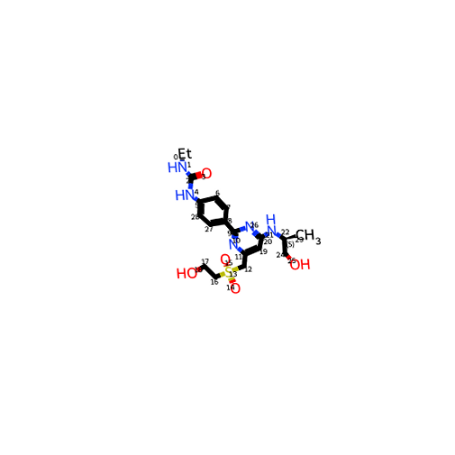 CCNC(=O)Nc1ccc(-c2nc(CS(=O)(=O)CCO)cc(N[C@@H](C)CO)n2)cc1